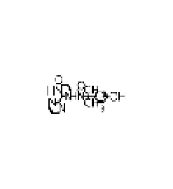 CC(C)(NC(=O)c1cc(=O)[nH]c(-c2ncccn2)n1)c1ccc(O)cc1